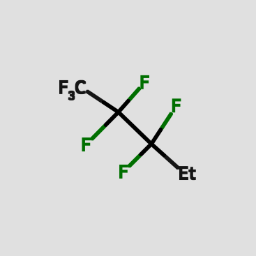 [CH2]CC(F)(F)C(F)(F)C(F)(F)F